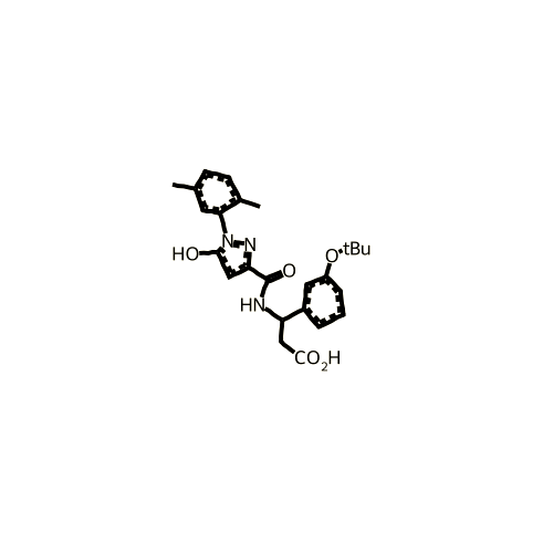 Cc1ccc(C)c(-n2nc(C(=O)NC(CC(=O)O)c3cccc(OC(C)(C)C)c3)cc2O)c1